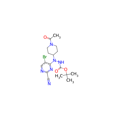 CC(=O)N1CCC(N(NC(=O)OC(C)(C)C)c2nc(C#N)ncc2Br)CC1